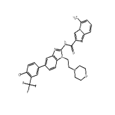 Cc1cccc2nc(C(=O)Nc3nc4cc(-c5ccc(Cl)c(C(F)(F)F)c5)ccc4n3CCN3CCOCC3)cn12